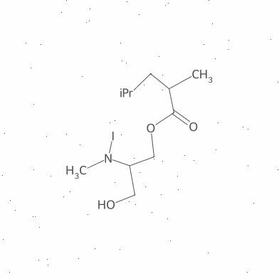 CC(C)CC(C)C(=O)OCC(CO)N(C)I